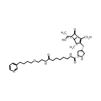 C[C@H]1C(S[C@@H]2CN[C@H](C(=O)NCCCCCC(=O)NCCOCCCCc3cccnc3)C2)=C(C(=O)O)N2C(=O)[C@H]([C@@H](C)O)C12